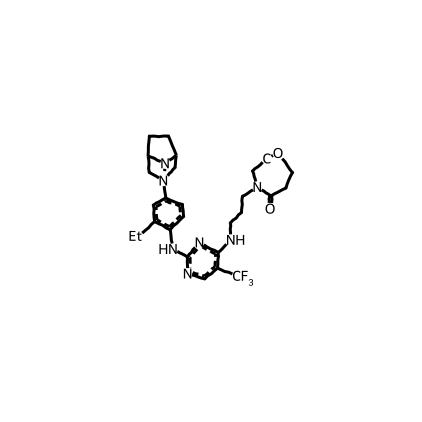 CCc1cc(N2CC3CCC(C2)N3C)ccc1Nc1ncc(C(F)(F)F)c(NCCCN2CCOCCC2=O)n1